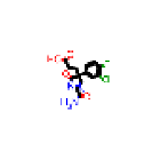 NC(=O)CCC(CCC(=O)O)(C(N)=O)c1ccc(Cl)c(Cl)c1